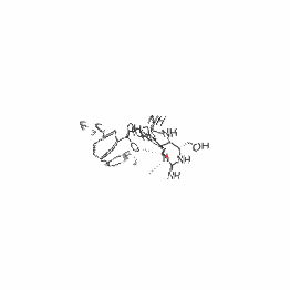 C[C@H]1[C@H](OC(=O)c2cc(C(F)(F)F)ccc2C(F)(F)F)C(O)(O)[C@]23NC(=N)NC2[C@H](CO)NC(=N)N13